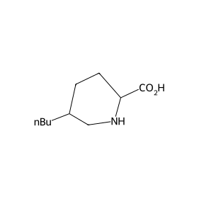 CCCCC1CCC(C(=O)O)NC1